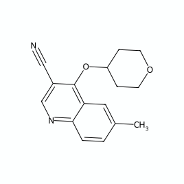 Cc1ccc2ncc(C#N)c(OC3CCOCC3)c2c1